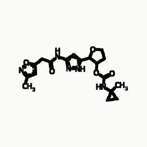 Cc1cc(CC(=O)Nc2cc(C3OCCC3OC(=O)NC3(C)CC3)[nH]n2)on1